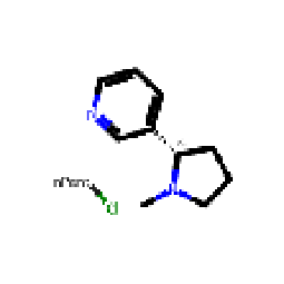 CCCCCCl.CN1CCC[C@H]1c1cccnc1